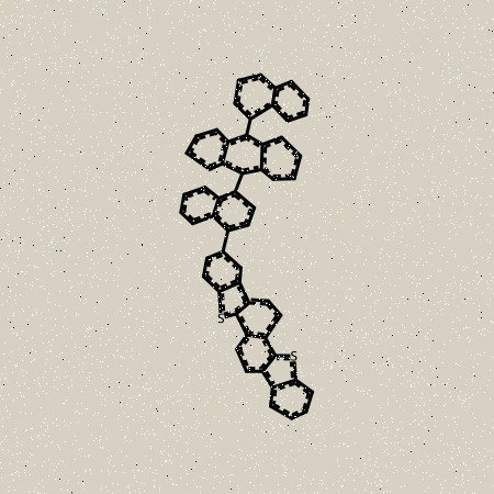 c1ccc2c(-c3c4ccccc4c(-c4ccc(-c5ccc6sc7c(ccc8c7ccc7c9ccccc9sc78)c6c5)c5ccccc45)c4ccccc34)cccc2c1